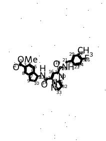 COC(=O)c1ccc2c(c1)CC[C@@H]2NC(=O)c1cc(C(=O)NCc2ccc(F)c(C)c2)nc2ccnn12